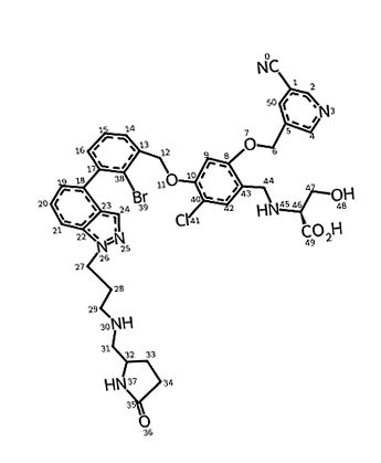 N#Cc1cncc(COc2cc(OCc3cccc(-c4cccc5c4cnn5CCCNCC4CCC(=O)N4)c3Br)c(Cl)cc2CN[C@@H](CO)C(=O)O)c1